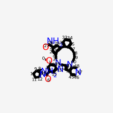 COc1cc(C(=O)N2CC3CCC2C3N)cc2nc3n(c12)Cc1cc(C(N)=O)cc(c1)-c1ccccc1CCCCn1c-3cc2ccncc21